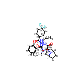 CCN1C(=O)N(CC)C2(CC3CCC(C2)N3CC[C@H](NC(=O)C2CCC(F)(F)CC2)c2ccccc2)C1=O